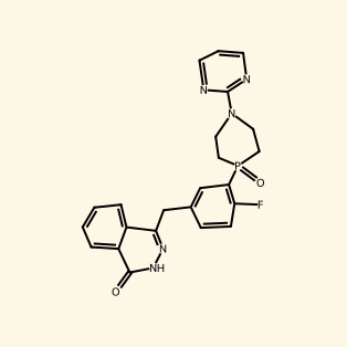 O=c1[nH]nc(Cc2ccc(F)c(P3(=O)CCN(c4ncccn4)CC3)c2)c2ccccc12